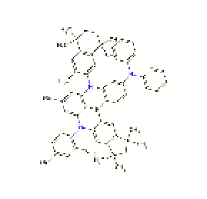 Cc1cc(C(C)(C)C)ccc1N1c2cc3c(cc2B2c4ccc(N(c5ccccc5)c5ccccc5)cc4N(c4cc5c(cc4C)C(C)(C)CCC5(C)C)c4cc(C(C)(C)C)cc1c42)C(C)(C)CC3(C)C